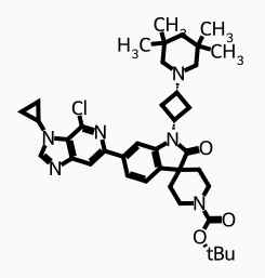 CC1(C)CN([C@H]2C[C@@H](N3C(=O)C4(CCN(C(=O)OC(C)(C)C)CC4)c4ccc(-c5cc6ncn(C7CC7)c6c(Cl)n5)cc43)C2)CC(C)(C)C1